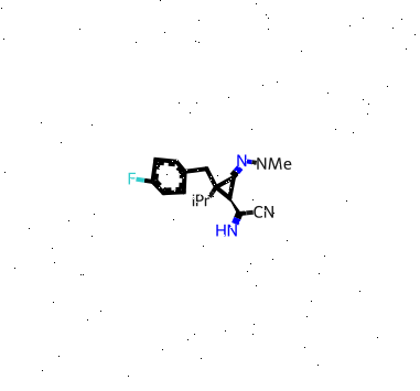 CN/N=C1\[C@@H](C(=N)C#N)C1(Cc1ccc(F)cc1)C(C)C